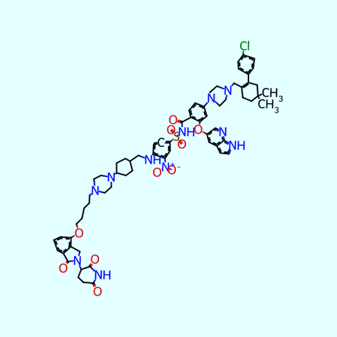 CC1(C)CCC(CN2CCN(c3ccc(C(=O)NS(=O)(=O)c4ccc(NCC5CCC(N6CCN(CCCCCOc7cccc8c7CN(C7CCC(=O)NC7=O)C8=O)CC6)CC5)c([N+](=O)[O-])c4)c(Oc4cnc5[nH]ccc5c4)c3)CC2)=C(c2ccc(Cl)cc2)C1